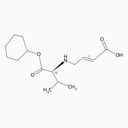 CC(C)[C@H](NC/C=C/C(=O)O)C(=O)OC1CCCCC1